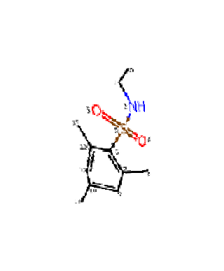 CCNS(=O)(=O)c1c(C)cc(C)cc1C